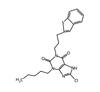 CCCCCn1c(=O)n(CCCc2cc3ccccc3s2)c(=O)c2[nH]c(Cl)nc21